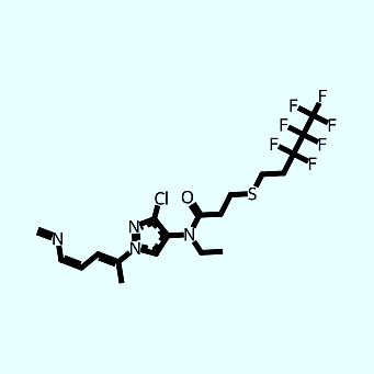 C=N/C=C\C=C(/C)n1cc(N(CC)C(=O)CCSCCC(F)(F)C(F)(F)C(F)(F)F)c(Cl)n1